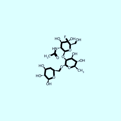 CC(=O)N[C@H]1[C@H](O[C@@H]2[C@@H](OC[C@@H]3C[C@H](O)[C@@H](O)[C@H](O)O3)O[C@H](C)[C@@H](O)[C@@H]2O)O[C@H](CO)[C@](O)(F)[C@@H]1O